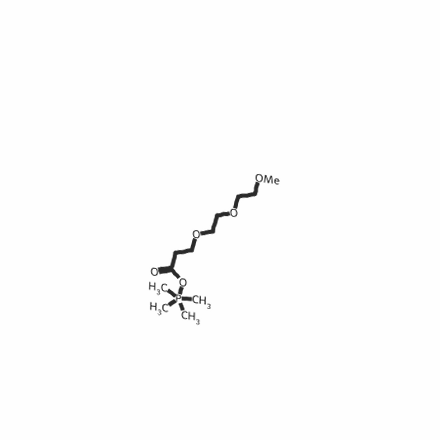 COCCOCCOCCC(=O)OP(C)(C)(C)C